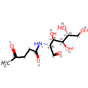 CC(=O)CCC(=O)N[C@@H](C=O)[C@@H](O)[C@H](O)[C@H](O)CO